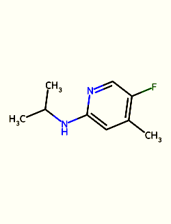 Cc1cc(NC(C)C)ncc1F